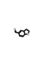 O=CC1=CC2CCOC2C=C1